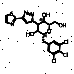 OCC1O[C@H](Sc2cc(Cl)c(Cl)c(Cl)c2)C(O)C(n2cc(-c3nccs3)nn2)[C@H]1O